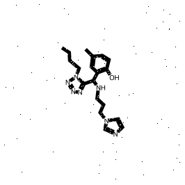 CCCCn1nnnc1C(NCCCn1ccnc1)c1cc(C)ccc1O